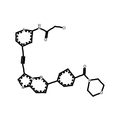 O=C(CCl)Nc1cc(C#Cc2cnc3ccc(-c4ccc(C(=O)N5CCOCC5)cc4)nn23)ccn1